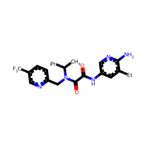 CCc1cc(NC(=O)C(=O)N(Cc2ccc(C(F)(F)F)cn2)C(C)C(C)C)cnc1N